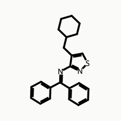 c1ccc(C(=Nc2nscc2CC2CCCCC2)c2ccccc2)cc1